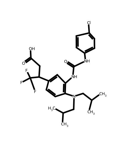 CC(C)CN(CC(C)C)c1ccc(C(CC(=O)O)C(F)(F)F)cc1NC(=O)Nc1ccc(Cl)cc1